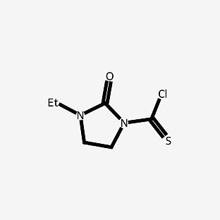 CCN1CCN(C(=S)Cl)C1=O